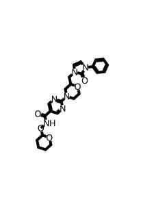 O=C(NOC1CCCCO1)c1cnc(N2CCOC(Cn3ccn(-c4ccccc4)c3=O)C2)nc1